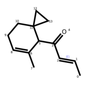 C/C=C/C(=O)C1C(C)=CCCC12CC2